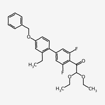 CCOC(OCC)C(=O)c1c(F)cc(-c2ccc(OCc3ccccc3)cc2CC)cc1F